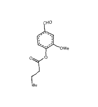 CCC(C)CCC(=O)Oc1ccc(C=O)cc1OC